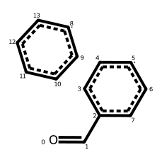 O=Cc1cc[c]cc1.[c]1ccccc1